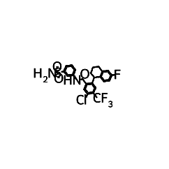 NS(=O)(=O)c1cccc(NC(=O)c2cc(Cl)c(C(F)(F)F)cc2C2CCCc3cc(F)ccc32)c1